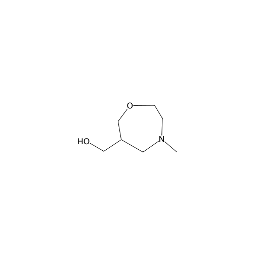 CN1CCOCC(CO)C1